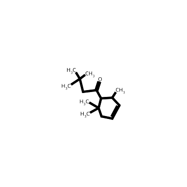 CC1C=CCC(C)(C)C1C(=O)CC(C)(C)C